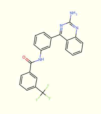 Nc1nc(-c2cccc(NC(=O)c3cccc(C(F)(F)F)c3)c2)c2ccccc2n1